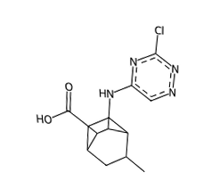 CC1CC2CCC1C(Nc1cnnc(Cl)n1)C2C(=O)O